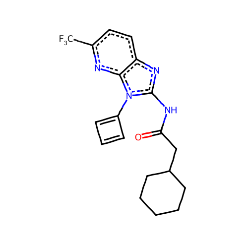 O=C(CC1CCCCC1)Nc1nc2ccc(C(F)(F)F)nc2n1C1=CC=C1